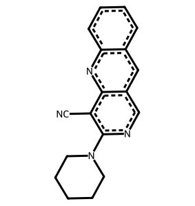 N#Cc1c(N2CCCCC2)ncc2cc3ccccc3nc12